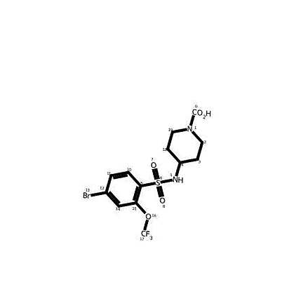 O=C(O)N1CCC(NS(=O)(=O)c2ccc(Br)cc2OC(F)(F)F)CC1